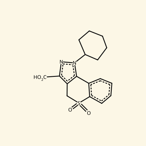 O=C(O)c1nn(C2CCCCC2)c2c1CS(=O)(=O)c1ccccc1-2